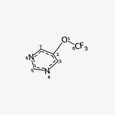 FC(F)(F)Oc1[c]ncnc1